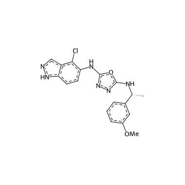 COc1cccc([C@@H](C)Nc2nnc(Nc3ccc4[nH]ncc4c3Cl)o2)c1